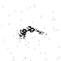 COCCOc1cnc2c(Nc3ccc(F)c(C4(C(F)F)COCC(N)=N4)c3)nccc2c1